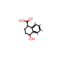 O=C(O)C1CCC(O)c2ccccc21